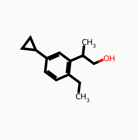 CCc1ccc(C2CC2)cc1[C](C)CO